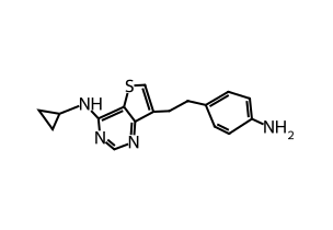 Nc1ccc(CCc2csc3c(NC4CC4)ncnc23)cc1